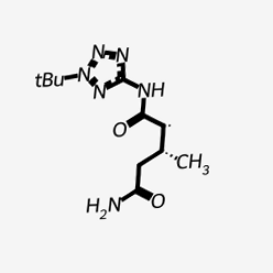 C[C@@H]([CH]C(=O)Nc1nnn(C(C)(C)C)n1)CC(N)=O